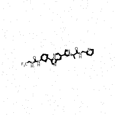 CC(C(=O)NCc1ccccn1)n1cc(-c2cnn3c(-c4cccc(NC(=O)NCC(F)(F)F)c4)cnc3c2)cn1